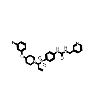 C=CC(N1CCC(Oc2cccc(F)c2)CC1)S(=O)(=O)c1ccc(NC(=O)NCc2cccnc2)cc1